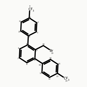 FC(F)(F)c1ccc(-c2cccc(-c3ccc(C(F)(F)F)cc3)c2CBr)cc1